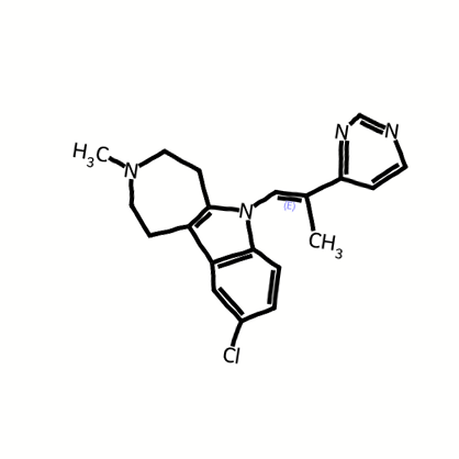 C/C(=C\n1c2c(c3cc(Cl)ccc31)CCN(C)CC2)c1ccncn1